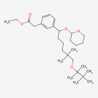 CCOC(=O)Cc1cccc(C(CCCC(C)(C)CO[Si](C)(C)C(C)(C)C)OC2CCCCO2)c1